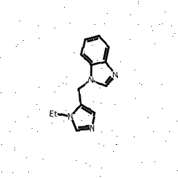 CCn1cncc1Cn1cnc2ccccc21